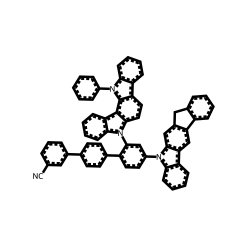 N#Cc1cccc(-c2ccc(-c3ccc(-n4c5ccccc5c5cc6c(cc54)Cc4ccccc4-6)cc3-n3c4ccccc4c4c3ccc3c5ccccc5n(-c5ccccc5)c34)cc2)c1